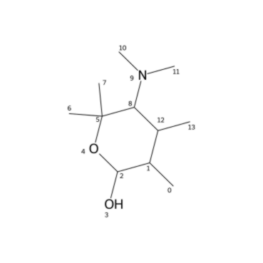 CC1C(O)OC(C)(C)C(N(C)C)C1C